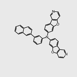 c1cc(-c2ccc3ccccc3c2)cc(N(c2ccc3c(c2)oc2ccncc23)c2ccc3c(c2)oc2ccncc23)c1